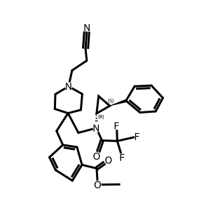 COC(=O)c1cccc(CC2(CN(C(=O)C(F)(F)F)[C@@H]3C[C@H]3c3ccccc3)CCN(CCC#N)CC2)c1